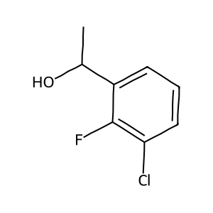 CC(O)c1cccc(Cl)c1F